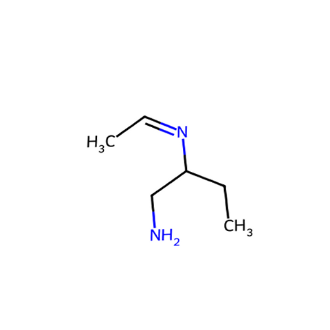 C/C=N\C(CC)CN